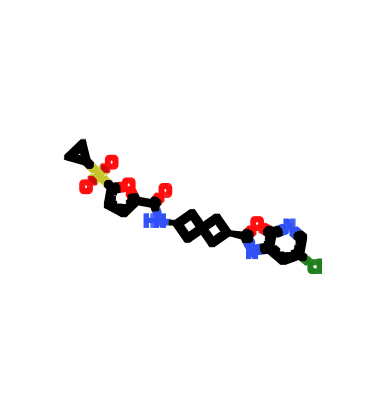 O=C(N[C@H]1CC2(C1)C[C@H](c1nc3cc(Cl)cnc3o1)C2)c1ccc(S(=O)(=O)C2CC2)o1